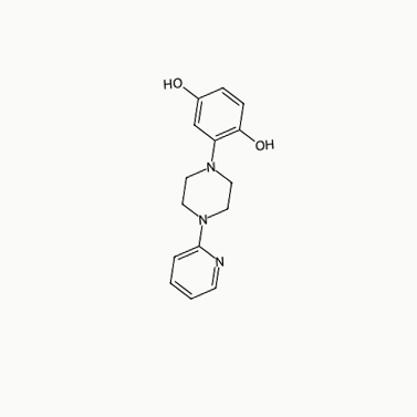 Oc1ccc(O)c(N2CCN(c3ccccn3)CC2)c1